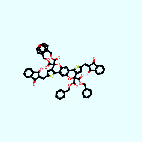 O=C1C(=Cc2cc3c(s2)-c2cc4c(cc2OC3(C(=O)OCc2ccccc2)C(=O)OCc2ccccc2)-c2sc(C=C3C(=O)c5ccccc5C3=O)cc2C(C(=O)OCc2ccccc2)(C(=O)OCc2ccccc2)O4)C(=O)c2ccccc21